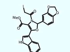 COC(=O)C1=C(c2c[nH]c3ccccc23)OC(c2ccc3c(c2)OCO3)N1C(=O)CI